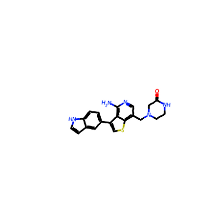 Nc1ncc(CN2CCNC(=O)C2)c2scc(-c3ccc4[nH]ccc4c3)c12